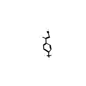 N#CC=C(Cl)c1ccc(C(F)(F)F)cc1